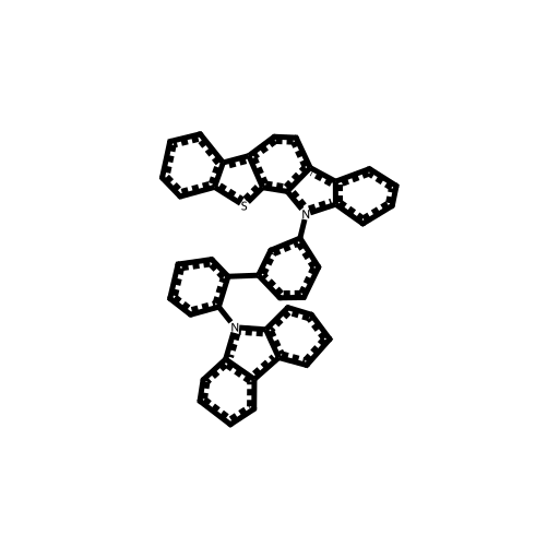 c1cc(-c2ccccc2-n2c3ccccc3c3ccccc32)cc(-n2c3ccccc3c3ccc4c5ccccc5sc4c32)c1